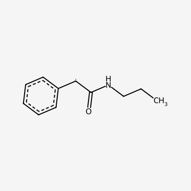 CCCNC(=O)[CH]c1ccccc1